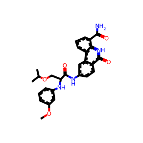 COc1cccc(NC(COC(C)C)C(=O)Nc2ccc3c(=O)[nH]c4c(C(N)=O)cccc4c3c2)c1